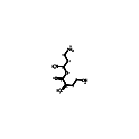 C=C(CCO)C(=O)OC(N)CCN